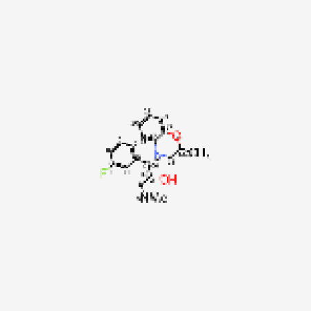 CNC[C@@H](O)[C@H](c1cccc(F)c1)N1CC(C)Oc2ccccc21